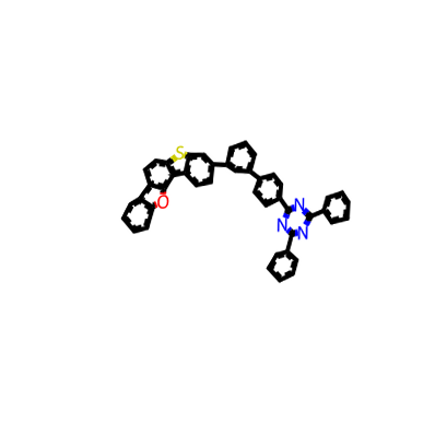 c1ccc(-c2nc(-c3ccccc3)nc(-c3ccc(-c4cccc(-c5ccc6c(c5)sc5ccc7c8ccccc8oc7c56)c4)cc3)n2)cc1